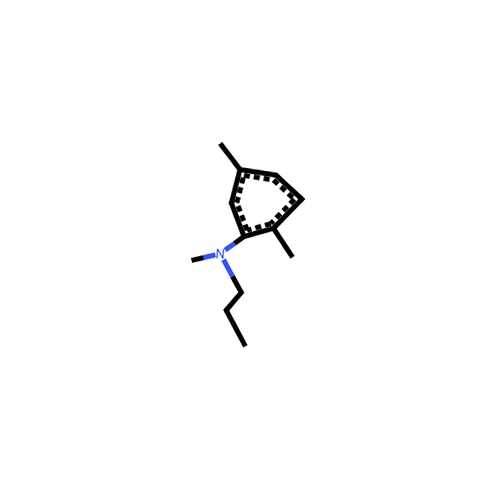 CCCN(C)c1cc(C)ccc1C